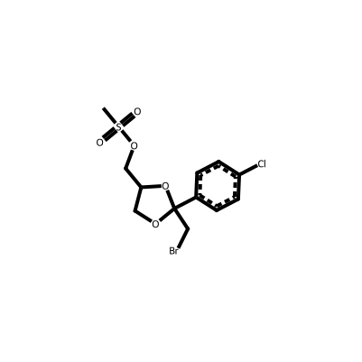 CS(=O)(=O)OCC1COC(CBr)(c2ccc(Cl)cc2)O1